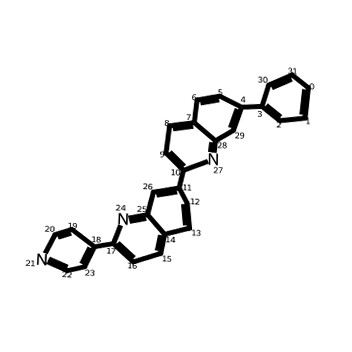 c1ccc(-c2ccc3ccc(-c4ccc5ccc(-c6ccncc6)nc5c4)nc3c2)cc1